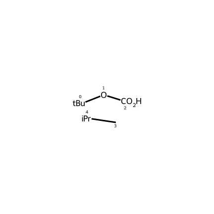 CC(C)(C)OC(=O)O.CC(C)C